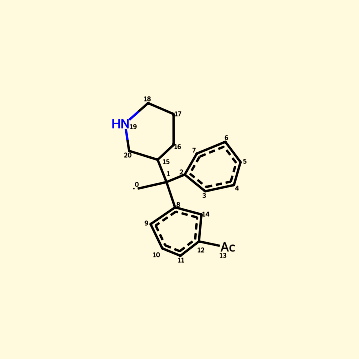 [CH2]C(c1ccccc1)(c1cccc(C(C)=O)c1)C1CCCNC1